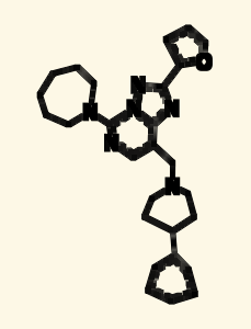 c1ccc(C2CCN(Cc3cnc(N4CCCCCC4)n4nc(-c5ccco5)nc34)CC2)cc1